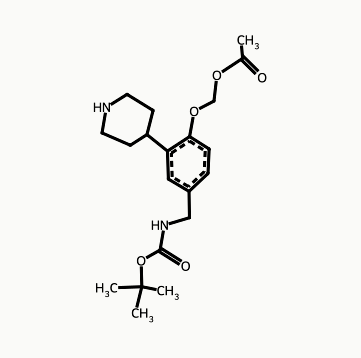 CC(=O)OCOc1ccc(CNC(=O)OC(C)(C)C)cc1C1CCNCC1